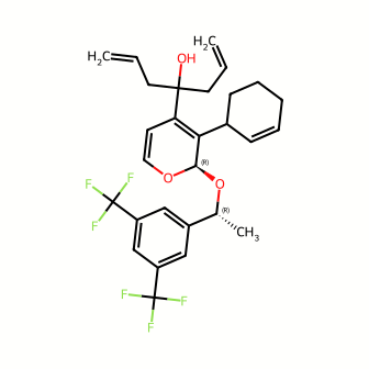 C=CCC(O)(CC=C)C1=C(C2C=CCCC2)[C@@H](O[C@H](C)c2cc(C(F)(F)F)cc(C(F)(F)F)c2)OC=C1